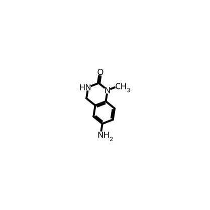 CN1C(=O)NCc2cc(N)ccc21